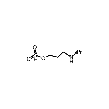 CC(C)NCCCO[SH](=O)=O